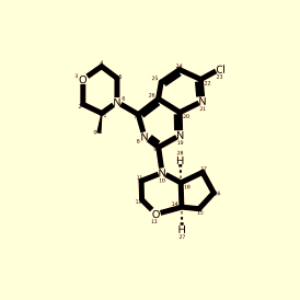 C[C@H]1COCCN1c1nc(N2CCO[C@@H]3CCC[C@@H]32)nc2nc(Cl)ccc12